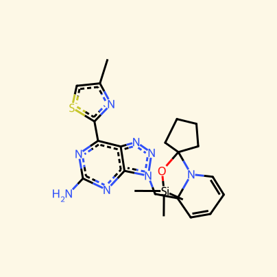 Cc1csc(-c2nc(N)nc3c2nnn3CC2C=CC=CN2C2(O[Si](C)(C)C)CCCC2)n1